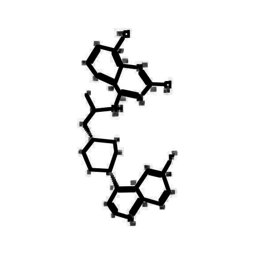 CC(C[C@H]1CC[C@@H](c2ccnc3ccc(F)cc32)CC1)Nc1nc(Cl)nc2c(Cl)cccc12